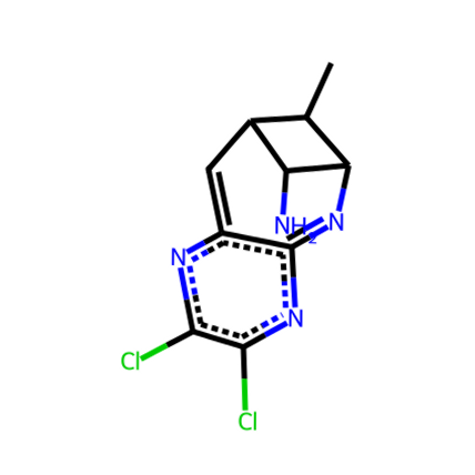 CC1C2C=c3nc(Cl)c(Cl)nc3=NC1C2N